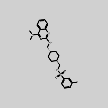 CN(C)c1nc(NC[C@H]2CC[C@H](CNS(=O)(=O)c3cccc(F)c3)CC2)nc2ccccc12